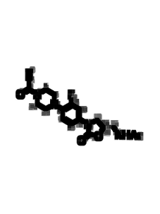 C#CC(=O)N1CCN(c2ccc(N3C[C@H](CNC(C)=O)OC3=O)cc2F)CC1